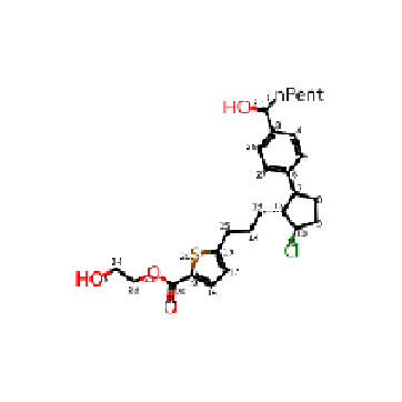 CCCCCC(O)c1ccc(C2CCC(Cl)[C@@H]2CCCc2ccc(C(=O)OCCO)s2)cc1